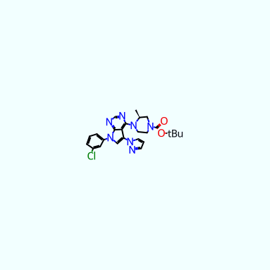 C[C@H]1CN(C(=O)OC(C)(C)C)CCN1c1ncnc2c1c(-n1cccn1)cn2-c1cccc(Cl)c1